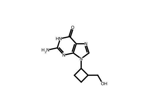 Nc1nc2c(ncn2C2CCC2CO)c(=O)[nH]1